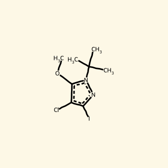 COc1c(Cl)c(I)nn1C(C)(C)C